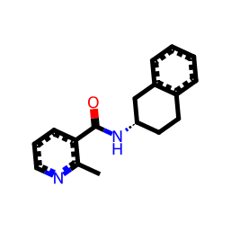 Cc1ncccc1C(=O)N[C@H]1CCc2ccccc2C1